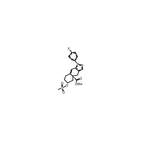 COC(=O)[C@]12Cc3cnn(-c4ccc(F)cc4)c3C=C1CC[C@@H](OS(C)(=O)=O)C2